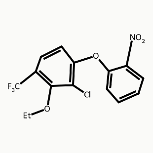 CCOc1c(C(F)(F)F)ccc(Oc2ccccc2[N+](=O)[O-])c1Cl